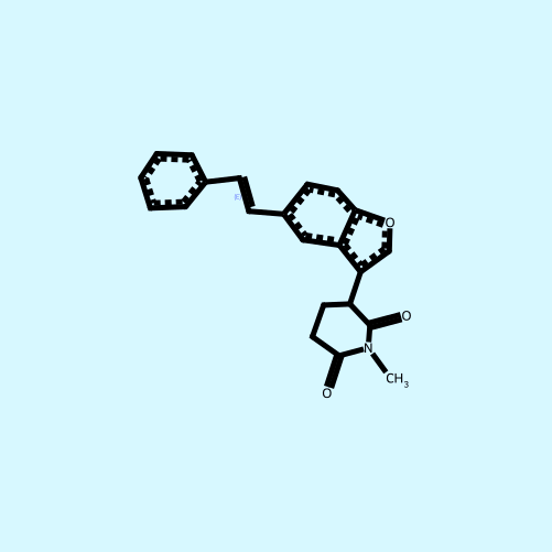 CN1C(=O)CCC(c2coc3ccc(/C=C/c4ccccc4)cc23)C1=O